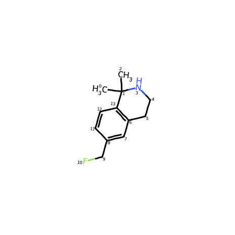 CC1(C)NCCc2cc(CF)ccc21